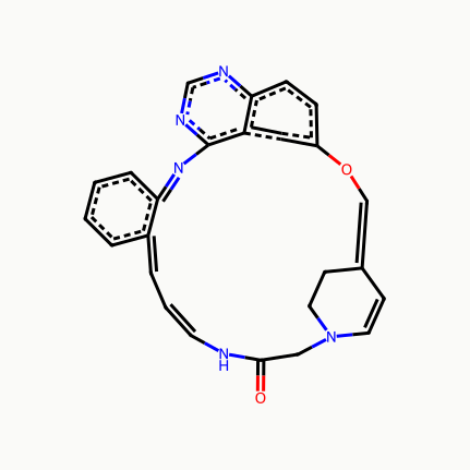 O=C1CN2C=C/C(=C\Oc3ccc4ncnc(c4c3)/N=c3/cccc/c3=C/C=C\N1)CC2